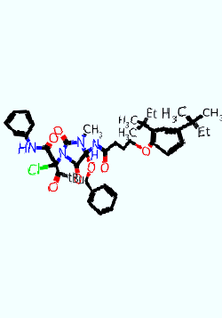 CCC(C)(C)c1ccc(OCCCC(=O)NC2(OCc3ccccc3)C(=O)N(C(Cl)(C(=O)Nc3ccccc3)C(=O)C(C)(C)C)C(=O)N2C)c(C(C)(C)CC)c1